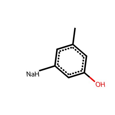 Cc1cc(C)cc(O)c1.[NaH]